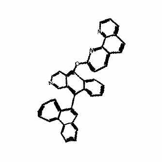 c1ccc2c(c1)cc(-c1c3ccccc3c(Oc3ccc4ccc5cccnc5c4n3)c3ccncc13)c1ccccc12